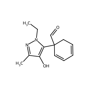 CCn1nc(C)c(O)c1C1(C=O)C=CC=CC1